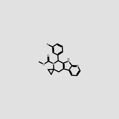 COC(=O)N1C(c2cccc(F)c2)c2[nH]c3ncccc3c2CC12CC2